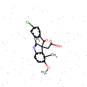 COc1ccc2c(c1C)C(CC(=O)O)(C(=O)c1ccc(Cl)cc1)C(C)=N2